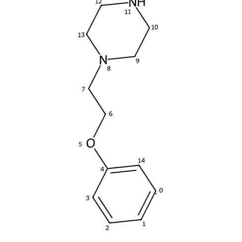 [c]1cccc(OCCN2CCNCC2)c1